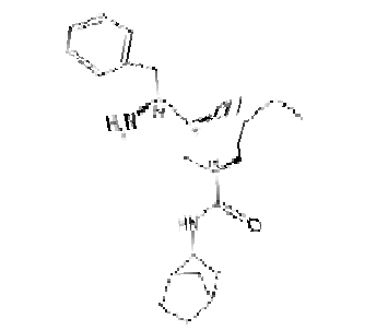 CC(C)CC[C@H](C[C@H](O)[C@@H](N)Cc1ccccc1)C(=O)NC1CC2CCC1C2